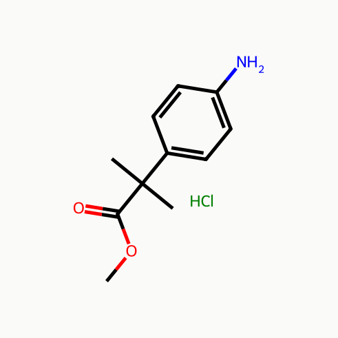 COC(=O)C(C)(C)c1ccc(N)cc1.Cl